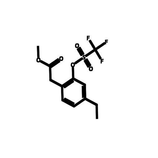 CCc1ccc(CC(=O)OC)c(OS(=O)(=O)C(F)(F)F)c1